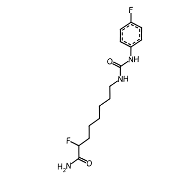 NC(=O)C(F)CCCCCCNC(=O)Nc1ccc(F)cc1